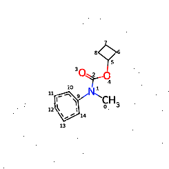 CN(C(=O)OC1CCC1)c1ccccc1